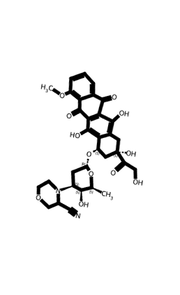 COc1cccc2c1C(=O)c1c(O)c3c(c(O)c1C2=O)C[C@@](O)(C(=O)CO)C[C@@H]3O[C@H]1C[C@H](N2CCOCC2C#N)[C@H](O)[C@H](C)O1